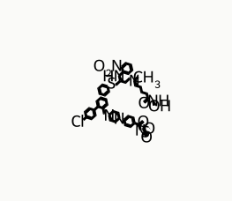 CN(CCCCC(=O)NO)CCC(CSc1ccccc1)Nc1ccccc1[N+](=O)[O-].O=C(N=S(=O)=O)c1ccc(N2CCN(Cc3ccccc3-c3ccc(Cl)cc3)CC2)cc1